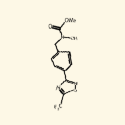 COC(=O)N(O)Cc1ccc(-c2noc(C(F)(F)F)n2)cc1